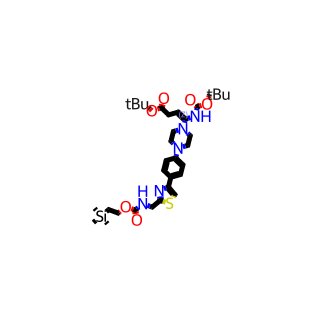 CC(C)(C)OC(=O)C/C=C(/NC(=O)OC(C)(C)C)N1CCN(c2ccc(-c3csc(CNC(=O)OCC[Si](C)(C)C)n3)cc2)CC1